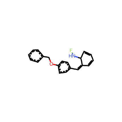 FNC1C=CC=CC1=Cc1ccc(OCc2ccccc2)cc1